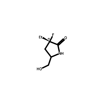 CC[C@]1(F)CC(CO)NC1=O